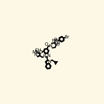 COc1cc(C(=O)N2CCCC(N)(S(=O)(=O)c3ccc(Br)cc3)C2)cc2nc(-c3cc4ccccc4n3CC3CC3)n(Cc3cnn(C)c3)c12